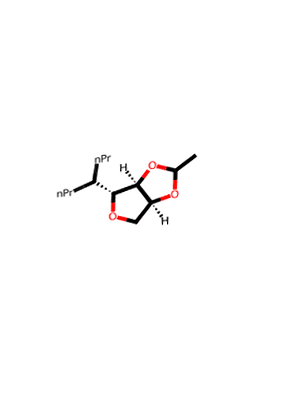 CCCC(CCC)[C@H]1OC[C@@H]2OC(C)O[C@@H]21